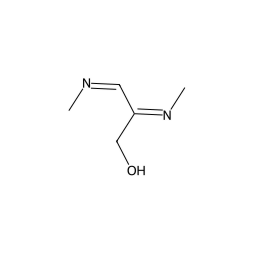 C/N=C\C(CO)=N/C